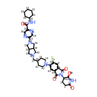 O=C1CCC(N2C(=O)c3cc(F)c(N4CCC(CN5CC6CN(c7cnc(C(=O)NC8CCCCC8)cn7)CC6C5)CC4)cc3C2=O)C(=O)N1